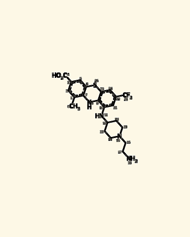 Cc1cc(C(=O)O)cc2c1Nc1c(NC3CCN(CCN)CC3)cc(C(F)(F)F)cc1S2